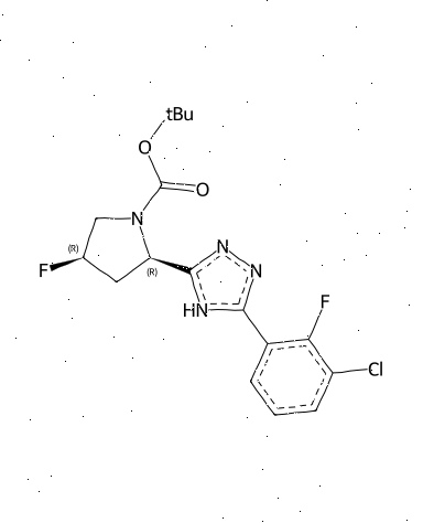 CC(C)(C)OC(=O)N1C[C@H](F)C[C@@H]1c1nnc(-c2cccc(Cl)c2F)[nH]1